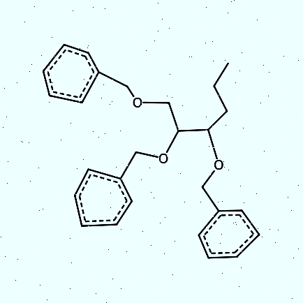 CCCC(OCc1ccccc1)C(COCc1ccccc1)OCc1ccccc1